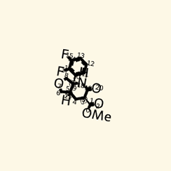 COC(=O)[C@H]1C[C@@H]2COC[C@]2(c2cccc(F)c2F)NC1=O